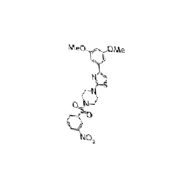 COc1cc(OC)cc(-c2csc(N3CCN(S(=O)(=O)c4cccc([N+](=O)[O-])c4)CC3)n2)c1